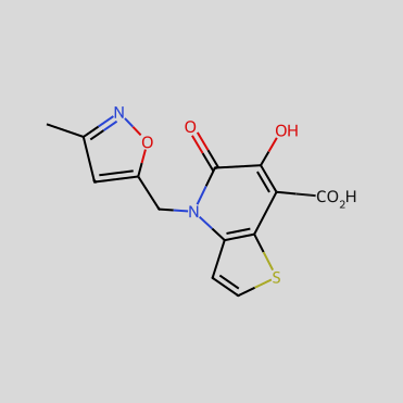 Cc1cc(Cn2c(=O)c(O)c(C(=O)O)c3sccc32)on1